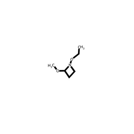 CCON1CCC1OC